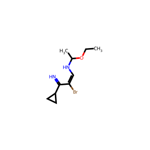 CCOC(C)N/C=C(/Br)C(=N)C1CC1